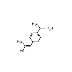 CC(=O)C(C)=Cc1ccc(C(C)C(=O)O)cc1